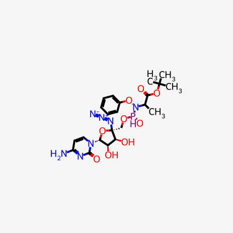 CC(C(=O)OC(C)(C)C)N(Oc1ccccc1)[PH](=O)OC[C@@]1(N=[N+]=[N-])O[C@@H](n2ccc(N)nc2=O)[C@H](O)[C@@H]1O